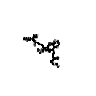 COC(=O)CCC(NC(=O)C(N)CCCNC(=N)N)C(=O)OC